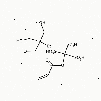 C=CC(=O)OC(S(=O)(=O)O)(S(=O)(=O)O)S(=O)(=O)O.CCC(CO)(CO)CO